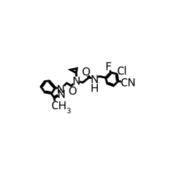 Cc1nn(CC(=O)N(CC(=O)NCc2ccc(C#N)c(Cl)c2F)C2CC2)c2ccccc12